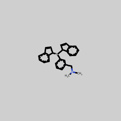 CN(C)Cc1[c]cc[c]([Ti]([CH]2C=Cc3ccccc32)[CH]2C=Cc3ccccc32)c1